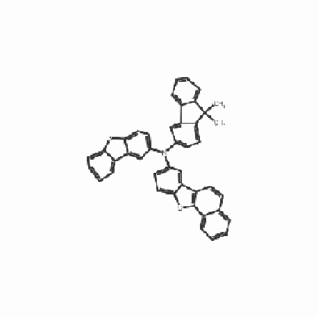 CC1(C)c2ccccc2-c2cc(N(c3ccc4oc5c6ccccc6ccc5c4c3)c3ccc4sc5ccccc5c4c3)ccc21